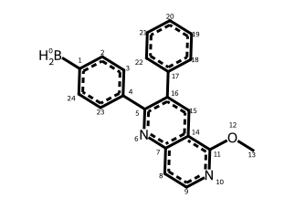 Bc1ccc(-c2nc3ccnc(OC)c3cc2-c2ccccc2)cc1